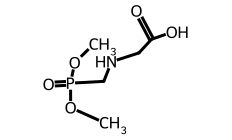 COP(=O)(CNCC(=O)O)OC